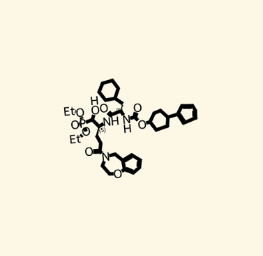 CCOP(=O)(OCC)C(O)[C@H](CCC(=O)N1CCOc2ccccc2C1)NC(=O)[C@H](CC1CCCCC1)NC(=O)OC1CCC(c2ccccc2)CC1